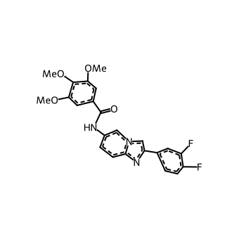 COc1cc(C(=O)Nc2ccc3nc(-c4ccc(F)c(F)c4)cn3c2)cc(OC)c1OC